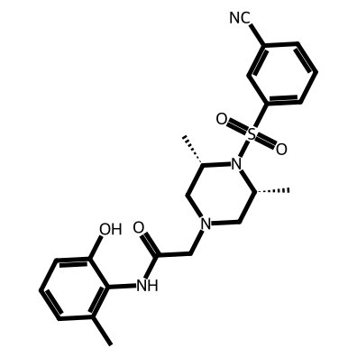 Cc1cccc(O)c1NC(=O)CN1C[C@@H](C)N(S(=O)(=O)c2cccc(C#N)c2)[C@@H](C)C1